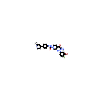 Cc1cc(-c2ccc(NC(=O)N3CCC(C(=O)/C(=N/I)Nc4ccc(F)c(Br)c4)CC3)cc2)ccn1